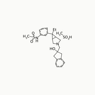 CCC1(c2cccc(NS(C)(=O)=O)c2)C2CN(CC3(O)Cc4ccccc4C3)CC21.CS(=O)(=O)O